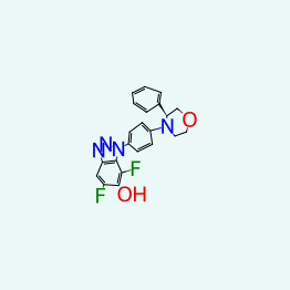 Oc1c(F)cc2nnn(-c3ccc(N4CCOC[C@@H]4c4ccccc4)cc3)c2c1F